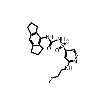 COCCNc1cc(S(=O)(=O)NC(=O)Nc2c3c(cc4c2CCC4)CCC3)cnn1